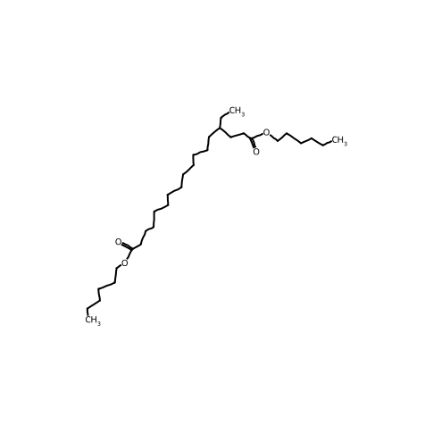 CCCCCCOC(=O)CCCCCCCCCCCCC(CC)CCC(=O)OCCCCCC